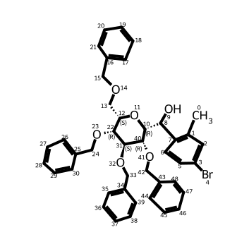 Cc1cc(Br)ccc1C(O)[C@H]1O[C@@H](COCc2ccccc2)[C@@H](OCc2ccccc2)[C@H](OCc2ccccc2)[C@H]1OCc1ccccc1